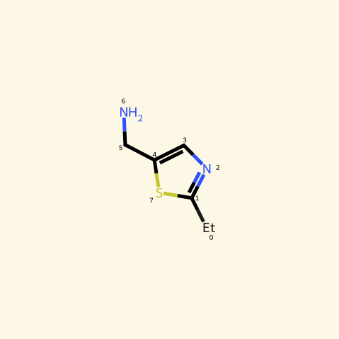 CCc1ncc(CN)s1